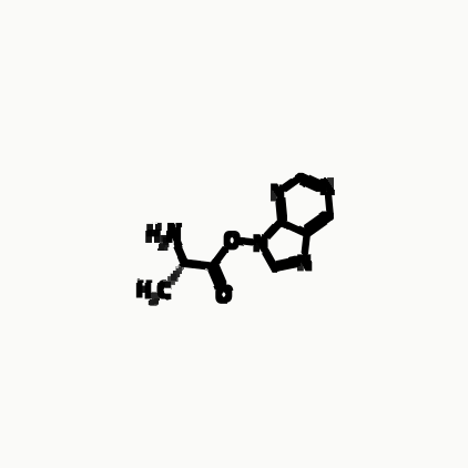 C[C@H](N)C(=O)On1cnc2cncnc21